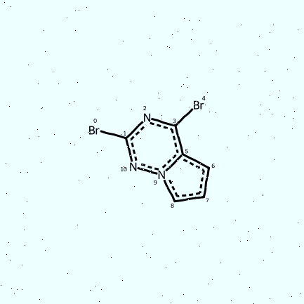 Brc1nc(Br)c2cccn2n1